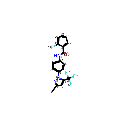 Cc1cc(C(F)(F)F)n(-c2ccc(NC(=O)c3ccccc3F)cc2)n1